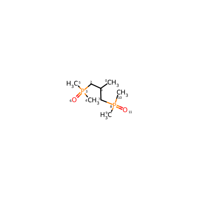 CC(CP(C)(C)=O)CP(C)(C)=O